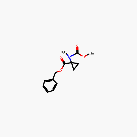 CN(C(=O)OC(C)(C)C)C1(C(=O)OCc2ccccc2)CC1